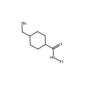 CCNC(=O)C1CCC(CC(C)(C)C)CC1